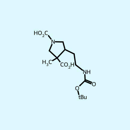 CC(C)(C)OC(=O)NCCC1CN(C(=O)O)CC1(C)C(=O)O